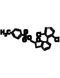 Cc1ccc(S(=O)(=O)OCC2Cc3cccc(-c4c(Cl)cccc4Cl)c3O2)cc1